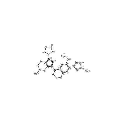 CC(=O)N1CCc2c(c(N3CCCc4cc(-c5cnn(C)c5)c(OC(F)(F)F)cc43)nn2C2CCOC2)C1